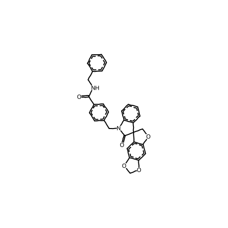 O=C(NCc1ccccc1)c1ccc(CN2C(=O)C3(COc4cc5c(cc43)OCO5)c3ccccc32)cc1